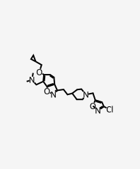 CN(C)Cc1c(OCC2CC2)ccc2c(CCC3CCN(Cc4cc(Cl)no4)CC3)noc12